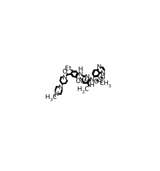 C=Cc1cnc(Nc2cc(CC)c(C(=O)N3CCC(N4CCN(C)CC4)CC3)cc2OC)nc1Nc1ccc2nccnc2c1S(C)(=O)=O